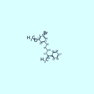 COc1cc(Br)cc(CCCCC(C)c2ccccc2)c1